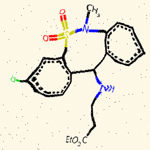 CCOC(=O)CCNC1c2ccccc2N(C)S(=O)(=O)c2cc(Cl)ccc21